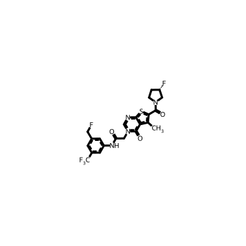 Cc1c(C(=O)N2CC[C@H](F)C2)sc2ncn(CC(=O)Nc3cc(CF)cc(C(F)(F)F)c3)c(=O)c12